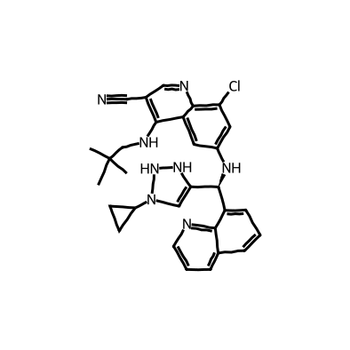 CC(C)(C)CNc1c(C#N)cnc2c(Cl)cc(N[C@H](C3=CN(C4CC4)NN3)c3cccc4cccnc34)cc12